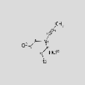 CC#CN(CCCl)CCCl.Cl